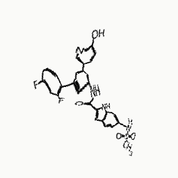 CS(=O)(=O)Nc1ccc2cc(C(=O)Nc3cc(-c4ccc(O)nc4)cc(-c4ccc(F)cc4F)c3)[nH]c2c1